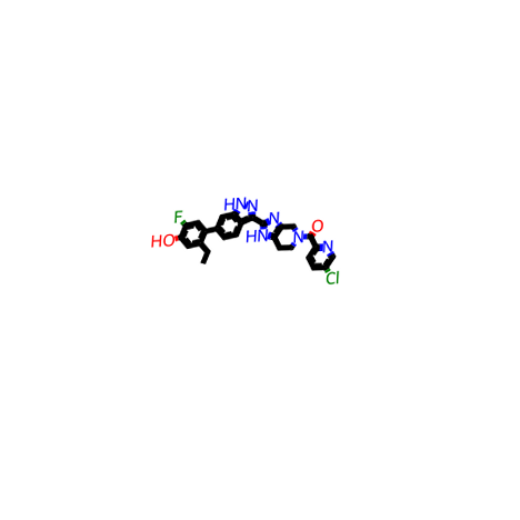 CCc1cc(O)c(F)cc1-c1ccc2c(-c3nc4c([nH]3)CCN(C(=O)c3ccc(Cl)cn3)C4)n[nH]c2c1